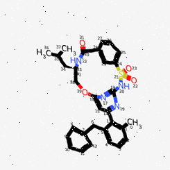 Cc1cccc(Cc2ccccc2)c1-c1cc2nc(n1)NS(=O)(=O)c1cccc(c1)C(=O)N[C@H](CC(C)C)CO2